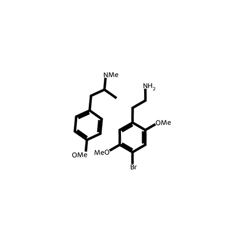 CNC(C)Cc1ccc(OC)cc1.COc1cc(CCN)c(OC)cc1Br